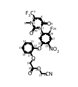 Cn1c(C(F)(F)F)cc(=O)n(-c2cc(Oc3ccccc3OCC(=O)OCC#N)c([N+](=O)[O-])cc2F)c1=O